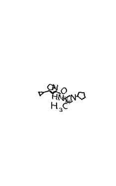 C[C@@H]1CN(C2CCCC2)C[C@@H]1NC(=O)c1cc(C2CC2)on1